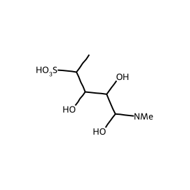 CNC(O)C(O)C(O)C(C)S(=O)(=O)O